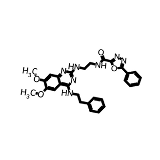 COc1cc2nc(NCCNC(=O)c3nnc(-c4ccccc4)o3)nc(NCCc3ccccc3)c2cc1OC